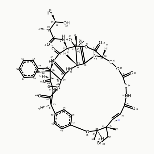 CC[C@H](C)[C@H]1NC(=O)[C@@H](NC(=O)[C@H](C)[C@H](O)C(C)C)[C@@H](C)OC(=O)[C@@H]2COC(=O)CNC(=O)/C=C/[C@](C)(CBr)[C@@H](C)Oc3ccc(cc3)[C@H](NC1=O)C(=O)N(C)[C@@H](Cc1ccccc1)C(=O)N[C@H]([C@@H](C)O)C(=O)N2